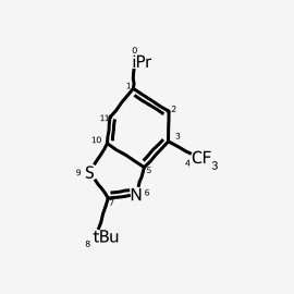 CC(C)c1cc(C(F)(F)F)c2nc(C(C)(C)C)sc2c1